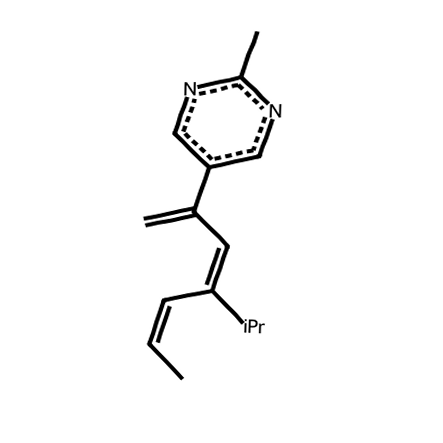 C=C(/C=C(\C=C/C)C(C)C)c1cnc(C)nc1